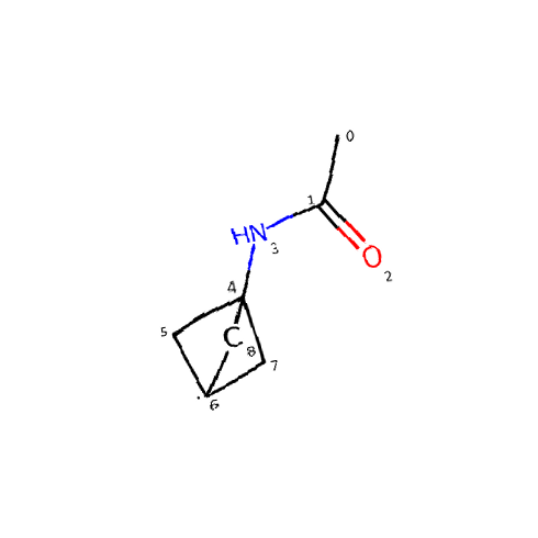 CC(=O)NC12C[C](C1)C2